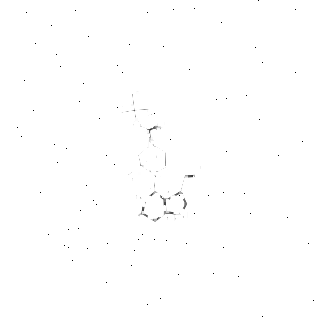 C[C@@H]1CN(c2nccc3[nH]cc(C=O)c23)[C@@H](C)CN1C(=O)OC(C)(C)C